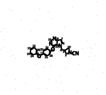 N#CN1CC(Cn2ccc3ncnc(Oc4ccc(Oc5ccccc5)cc4)c32)C1